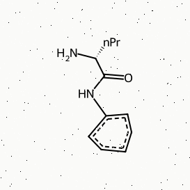 CCC[C@@H](N)C(=O)Nc1ccccc1